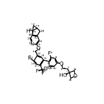 OC1(CCOc2cc(F)c(-c3cc(COc4cc5c(cn4)[C@@H]4CC4C5)c(F)cc3C(F)(F)F)c(F)c2)COC1